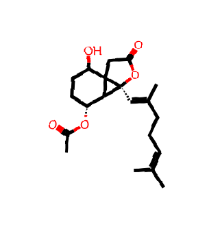 CC(=O)O[C@@H]1CCC(O)C23CC(=O)O[C@@]2(/C=C(\C)CCC=C(C)C)C13